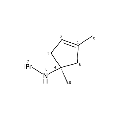 CC1=CC[C@](C)(NC(C)C)C1